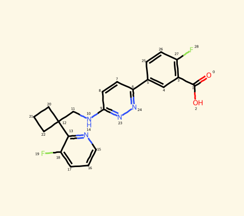 O=C(O)c1cc(-c2ccc(NCC3(c4ncccc4F)CCC3)nn2)ccc1F